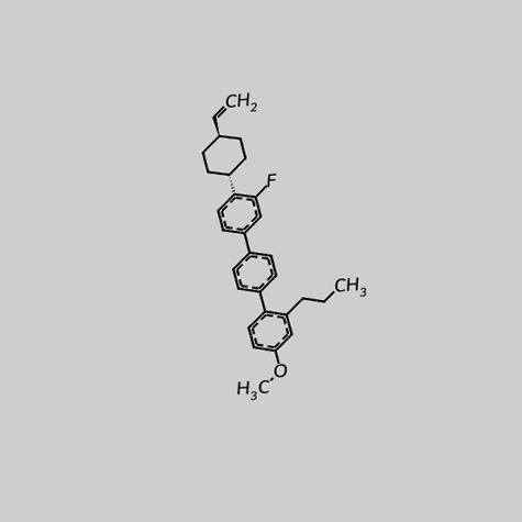 C=C[C@H]1CC[C@H](c2ccc(-c3ccc(-c4ccc(OC)cc4CCC)cc3)cc2F)CC1